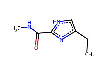 CCc1c[nH]c(C(=O)NC)n1